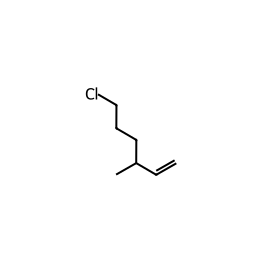 C=CC(C)CCCCl